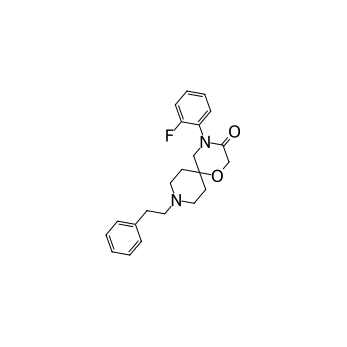 O=C1COC2(CCN(CCc3ccccc3)CC2)CN1c1ccccc1F